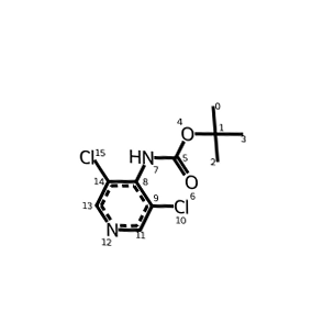 CC(C)(C)OC(=O)Nc1c(Cl)cncc1Cl